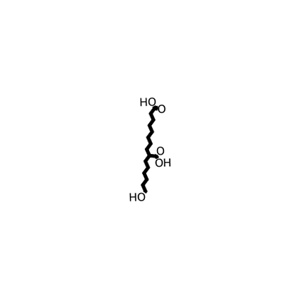 O=C(O)CCCCCCCC(CCCCCCO)C(=O)O